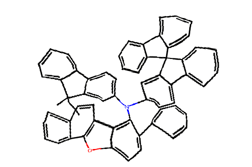 CC1(C)c2ccccc2-c2ccc(N(c3ccc4c(c3)C3(c5ccccc5-c5ccccc53)c3ccccc3-4)c3c(-c4ccccc4)ccc4oc5c6ccccc6ccc5c34)cc21